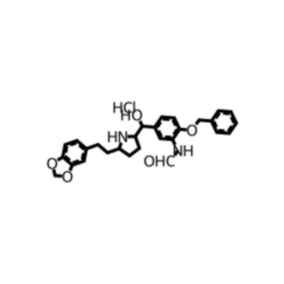 Cl.O=CNc1cc(C(O)C2CCC(CCc3ccc4c(c3)OCO4)N2)ccc1OCc1ccccc1